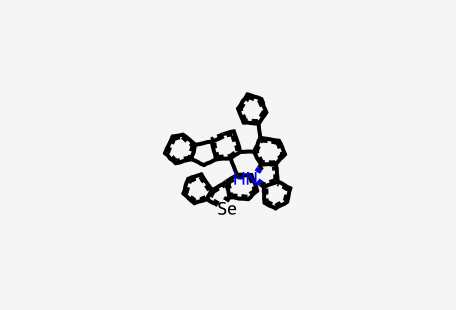 c1ccc(-c2ccc3c([nH]c4ccccc43)c2-c2ccc3c(c2-c2cccc4[se]c5ccccc5c24)Cc2ccccc2-3)cc1